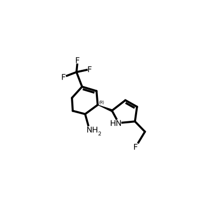 NC1CCC(C(F)(F)F)=C[C@H]1C1C=CC(CF)N1